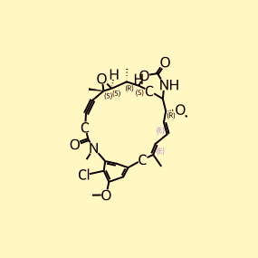 COc1cc2cc(c1Cl)N(C)C(=O)CC#C[C@]1(C)O[C@H]1[C@H](C)[C@@H]1CC(NC(=O)O1)[C@H](OC)/C=C/C=C(\C)C2